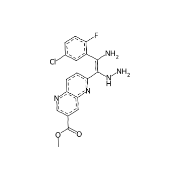 COC(=O)c1cnc2ccc(/C(NN)=C(/N)c3cc(Cl)ccc3F)nc2c1